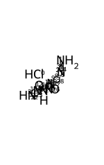 Cl.NC1C2CN(C[C@H]3CC[C@H](n4ccc(NC(=O)N5CCNCC5)nc4=O)CC3)CC12